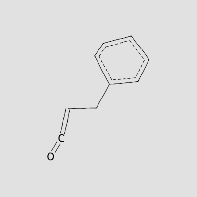 O=C=CCc1ccccc1